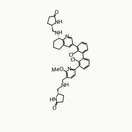 COc1nc(-c2cccc(-c3cccc(-c4cnc5c(c4)CCC[C@@H]5NC[C@H]4CCC(=O)N4)c3Cl)c2Cl)ccc1CNC[C@H]1CCC(=O)N1